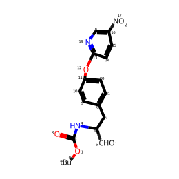 CC(C)(C)OC(=O)NC([C]=O)Cc1ccc(Oc2ccc([N+](=O)[O-])cn2)cc1